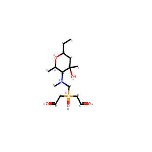 CCC1CC(C)(O)C(N(C)CP(=O)(CC=O)CC=O)C(C)O1